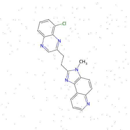 Cn1c(CCc2cnc3cccc(Cl)c3n2)nc2c3cccnc3ccc21